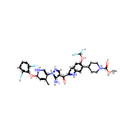 CC1=CC(Oc2c(F)cccc2F)NC=C1n1ncc(C(=O)c2cc3cc(OC(F)F)c(C4CCN(C(=O)OC(C)(C)C)CC4)cc3[nH]2)c1N